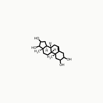 C[C@]12CC(O)C(O)CC1=CC[C@@H]1[C@H]2CC[C@]2(C)C(O)C(O)C[C@@H]12